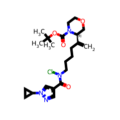 C=C(CCCCN(Cl)C(=O)c1cnn(C2CC2)c1)[C@@H]1COCCN1C(=O)OC(C)(C)C